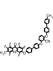 Cc1ccc(-c2ccc(Oc3cccc(Oc4ccc(-c5ccc(Oc6c(F)c(F)c(C(=O)c7c(F)c(F)c(C)c(F)c7F)c(F)c6F)cc5)cc4)c3C#N)cc2)cc1